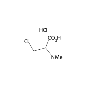 CNC(CCl)C(=O)O.Cl